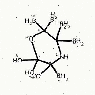 BC1(B)NC(B)(O)C(O)(O)OC1(B)B